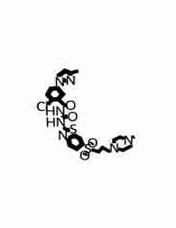 Cc1ccn(-c2ccc(Cl)c(C(=O)NC(=O)Nc3nc4ccc(S(=O)(=O)CCCN5CCN(C)CC5)cc4s3)c2)n1